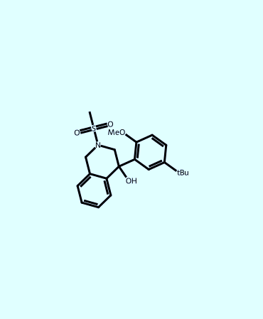 COc1ccc(C(C)(C)C)cc1C1(O)CN(S(C)(=O)=O)Cc2ccccc21